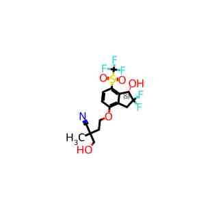 CC(C#N)(CO)CCOc1ccc(S(=O)(=O)C(F)(F)F)c2c1CC(F)(F)[C@H]2O